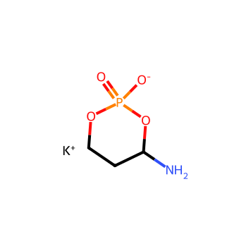 NC1CCOP(=O)([O-])O1.[K+]